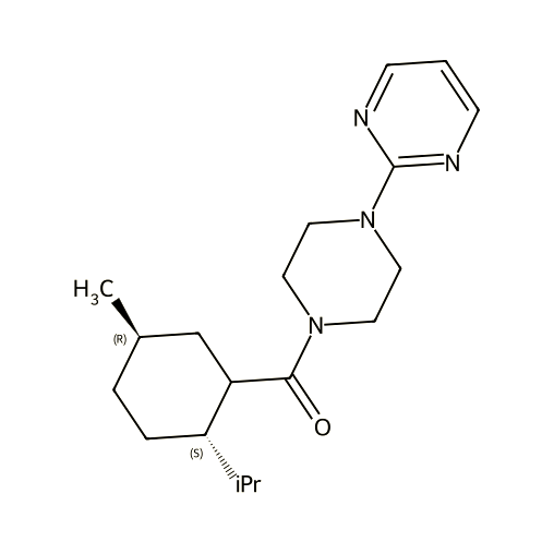 CC(C)[C@@H]1CC[C@@H](C)CC1C(=O)N1CCN(c2ncccn2)CC1